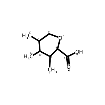 CC1COC(C(=O)O)C(C)C1C